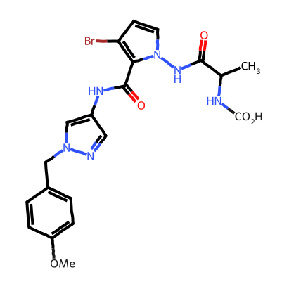 COc1ccc(Cn2cc(NC(=O)c3c(Br)ccn3NC(=O)C(C)NC(=O)O)cn2)cc1